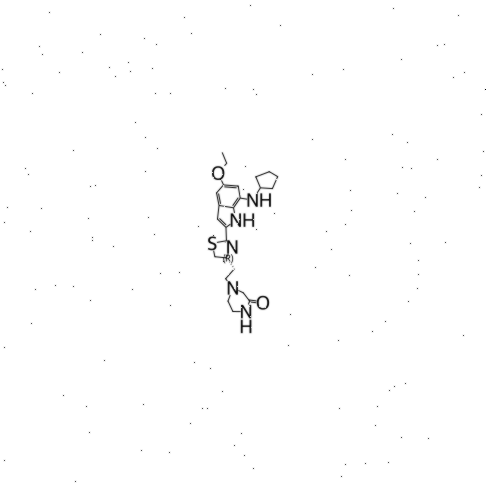 CCOc1cc(NC2CCCC2)c2[nH]c(C3=N[C@H](CCN4CCNC(=O)C4)CS3)cc2c1